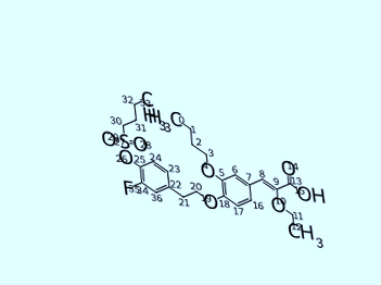 CCCCOc1cc(C=C(OCC)C(=O)O)ccc1OCCc1ccc(OS(=O)(=O)CCCC)c(F)c1